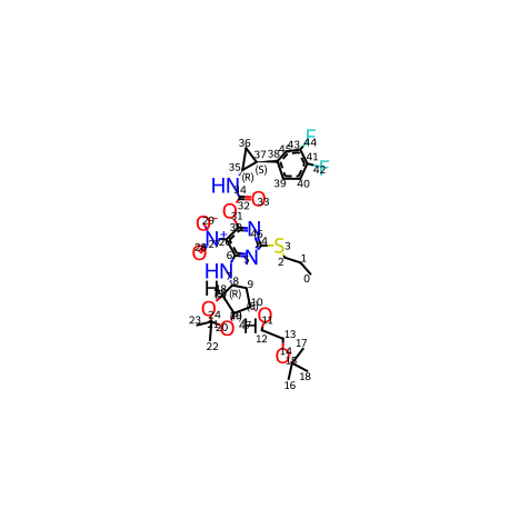 CCCSc1nc(N[C@@H]2C[C@H](OCCOC(C)(C)C)[C@H]3OC(C)(C)O[C@H]32)c([N+](=O)[O-])c(OC(=O)N[C@@H]2C[C@H]2c2ccc(F)c(F)c2)n1